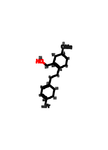 COC1CCC(CCC2=CC=C(C(C)C)CC2)=C(CO)C1